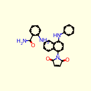 NC(=O)c1ccccc1N.O=C1C=CC(=O)N1c1ccc(Nc2ccccc2)c2ccccc12